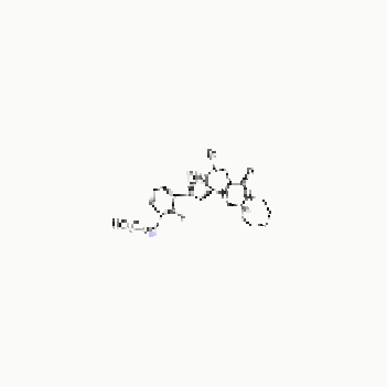 CCc1cc(C(=O)N2CCCCC[C@H]2C)nc2cc(-c3cccc(/C=C\C(=O)O)c3F)nn12